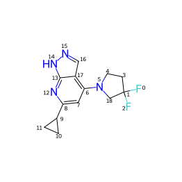 FC1(F)CCN(c2cc(C3CC3)nc3[nH]ncc23)C1